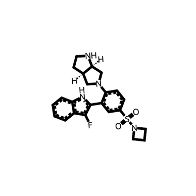 O=S(=O)(c1ccc(N2C[C@H]3CCN[C@H]3C2)c(-c2[nH]c3ccccc3c2F)c1)N1CCC1